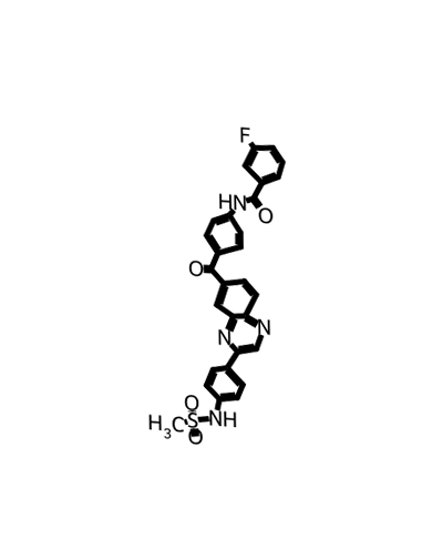 CS(=O)(=O)Nc1ccc(-c2cnc3ccc(C(=O)c4ccc(NC(=O)c5cccc(F)c5)cc4)cc3n2)cc1